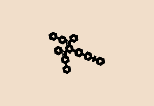 CC(C)(c1ccccc1)c1ccc(-c2ccc(-c3cc(N(c4ccccc4)c4ccc(-c5ccccc5)cc4)cc(N(c4ccccc4)c4ccc(-c5ccccc5)cc4)c3)cc2)cc1